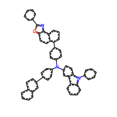 c1ccc(-c2nc3c(ccc4c(-c5ccc(N(c6ccc(-c7ccc8ccccc8c7)cc6)c6ccc7c(c6)c6ccccc6n7-c6ccccc6)cc5)cccc43)o2)cc1